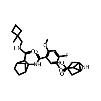 COc1cc(F)c(OC2CC34NC3(C2)C4C(=O)O)cc1C(=O)NC1C2CCC(C2)C1C(=O)NCC1(C)CCC1